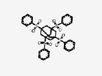 O=S(=O)(c1ccccc1)C12CC3(S(=O)(=O)c4ccccc4)CC(S(=O)(=O)c4ccccc4)(C1)CC(S(=O)(=O)c1ccccc1)(C2)C3